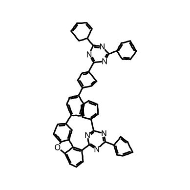 C1=CCC(c2nc(-c3ccccc3)nc(-c3ccc(-c4ccc(-c5ccc6oc7cccc(-c8nc(-c9ccccc9)nc(-c9ccccc9)n8)c7c6c5)cc4)cc3)n2)C=C1